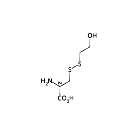 N[C@H](CSSCCO)C(=O)O